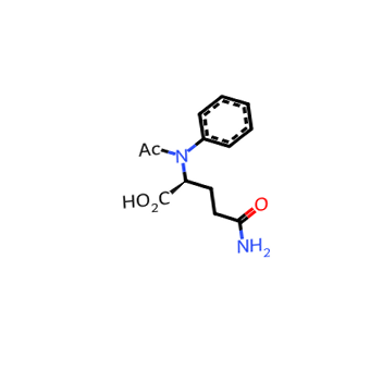 CC(=O)N(c1ccccc1)[C@@H](CCC(N)=O)C(=O)O